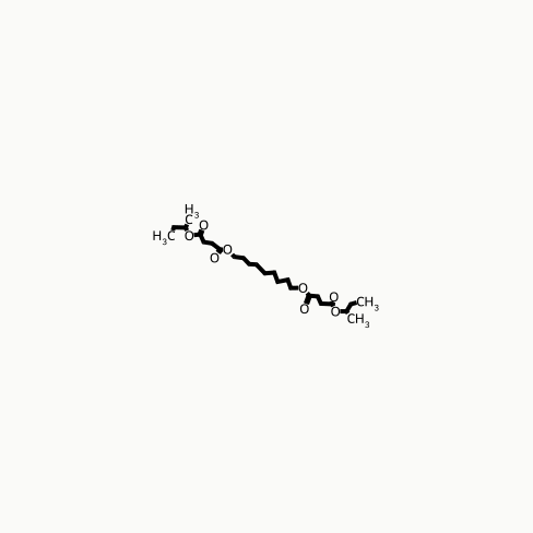 CCC(C)OC(=O)CCC(=O)OCCCCCCCCCOC(=O)CCC(=O)OC(C)CC